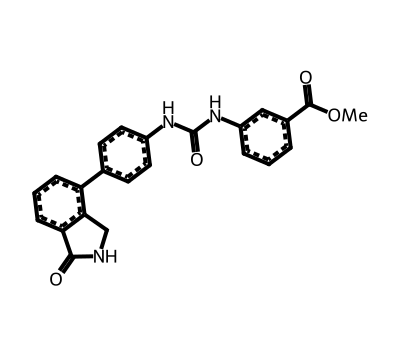 COC(=O)c1cccc(NC(=O)Nc2ccc(-c3cccc4c3CNC4=O)cc2)c1